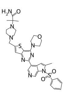 Cc1cc2c(-c3nc(N4CCOCC4)c4sc(CN5CCN(C(C)(C)C(N)=O)CC5)cc4n3)cncc2n1S(=O)(=O)c1ccccc1